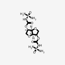 NP(N)(=O)NC(=O)O[C@H]1CO[C@H]2[C@@H]1OC[C@H]2OC(=O)NP(N)(N)=O